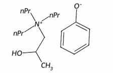 CCC[N+](CCC)(CCC)CC(C)O.[O-]c1ccccc1